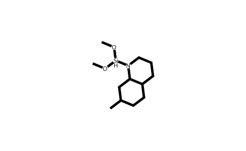 CO[SiH](OC)N1CCCC2CCC(C)CC21